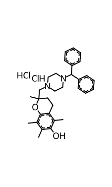 Cc1c(C)c2c(c(C)c1O)CCC(C)(CN1CCN(C(c3ccccc3)c3ccccc3)CC1)O2.Cl.Cl